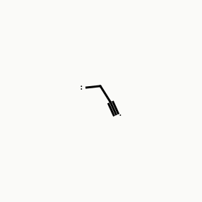 [C]#CC[CH]